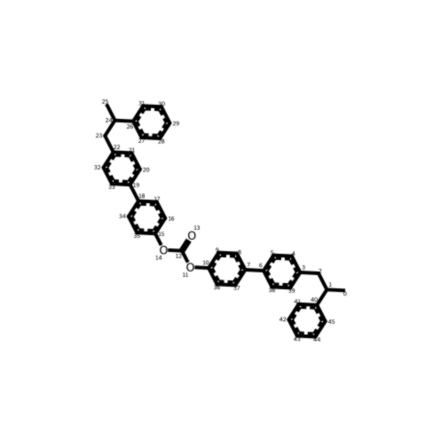 CC(Cc1ccc(-c2ccc(OC(=O)Oc3ccc(-c4ccc(CC(C)c5ccccc5)cc4)cc3)cc2)cc1)c1ccccc1